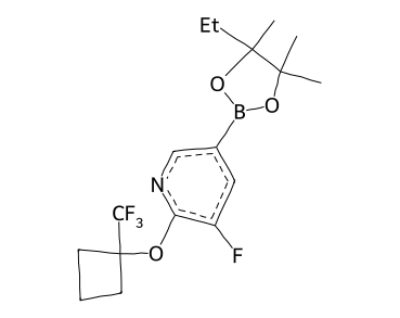 CCC1(C)OB(c2cnc(OC3(C(F)(F)F)CCC3)c(F)c2)OC1(C)C